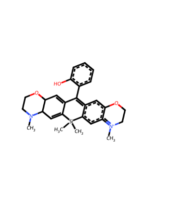 CN1CCOC2C=C3C(=CC21)[Si](C)(C)c1cc2c(cc1=C3c1ccccc1O)OCC[N+]=2C